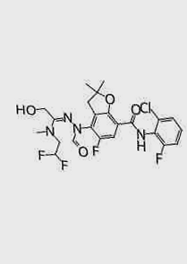 CN(CC(F)F)/C(CO)=N\N(C=O)c1c(F)cc(C(=O)Nc2c(F)cccc2Cl)c2c1CC(C)(C)O2